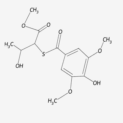 COC(=O)C(SC(=O)c1cc(OC)c(O)c(OC)c1)C(C)O